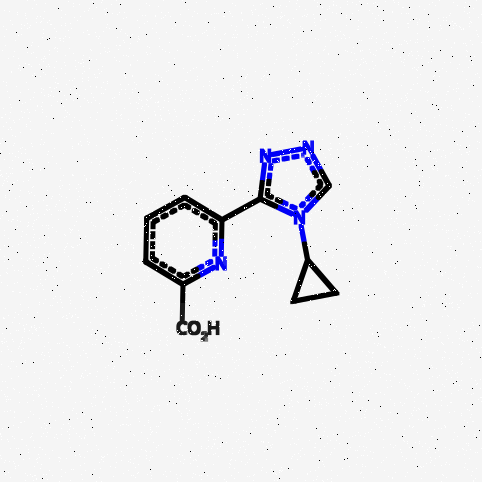 O=C(O)c1cccc(-c2nncn2C2CC2)n1